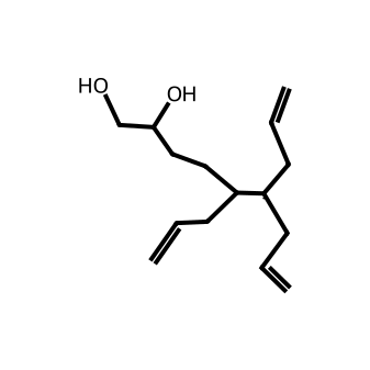 C=CC[C](CC=C)C(CC=C)CCC(O)CO